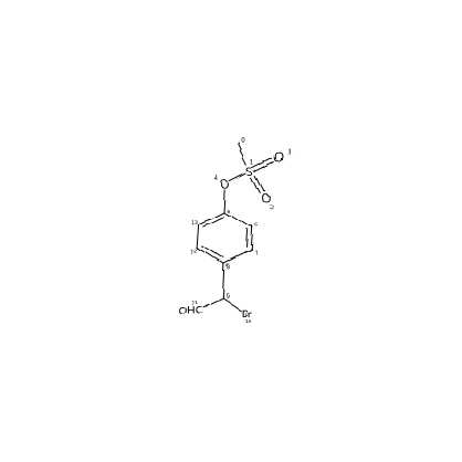 CS(=O)(=O)Oc1ccc(C(Br)C=O)cc1